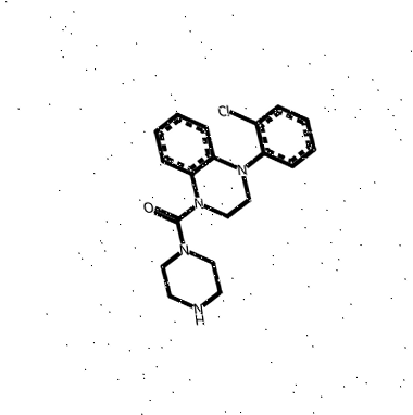 O=C(N1CCNCC1)N1CCN(c2ccccc2Cl)c2ccccc21